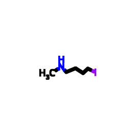 CNCCCCI